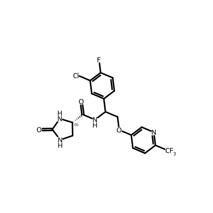 O=C1NC[C@@H](C(=O)NC(COc2ccc(C(F)(F)F)nc2)c2ccc(F)c(Cl)c2)N1